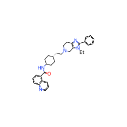 CCn1c(-c2ccccc2)nc2c1CN(CC[C@H]1CC[C@H](NC(=O)c3cccc4ncccc34)CC1)CC2